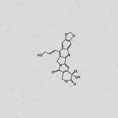 CC[C@@]1(O)C(=O)OCc2c1cc1n(c2=O)Cc2c-1nc1cc3c(cc1c2/C=C/CO)OCO3